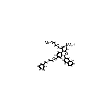 COCCOCC1CN(C(=O)O)CC(OCc2ccc3ccccc3c2)C1c1ccc(COCCOCc2ccccc2)cc1